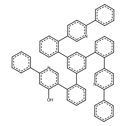 Oc1cc(-c2ccccc2)ncc1-c1ccccc1-c1cc(-c2ccccc2-c2ccc(-c3ccccc3)nc2)cc(-c2ccccc2-c2ccc(-c3ccccc3)nc2)c1